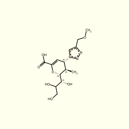 COCc1cn([C@H]2C=C(C(=O)O)O[C@@H]([C@H](O)C(O)CO)[C@@H]2C)nn1